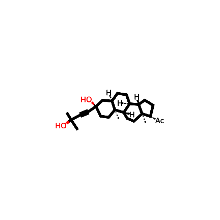 CC(=O)[C@H]1CC[C@H]2[C@@H]3CC[C@@H]4C[C@@](O)(C#CC(C)(C)O)CC[C@]4(C)[C@H]3CC[C@]12C